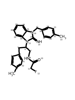 Cc1ccc(CC(CNC(=O)CF)n2c(=N)n(Cc3ccc(C)cc3)c3ccccc32)cc1